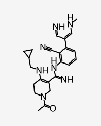 CN/C=C(\C=N)c1cccc(NC(=N)C2=C(NCC3CC3)CCN(C(C)=O)C2)c1C#N